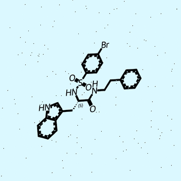 O=C(NCCc1ccccc1)[C@H](Cc1c[nH]c2ccccc12)NS(=O)(=O)c1ccc(Br)cc1